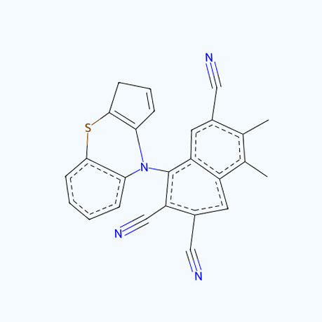 Cc1c(C#N)cc2c(N3C4=C(CC=C4)Sc4ccccc43)c(C#N)c(C#N)cc2c1C